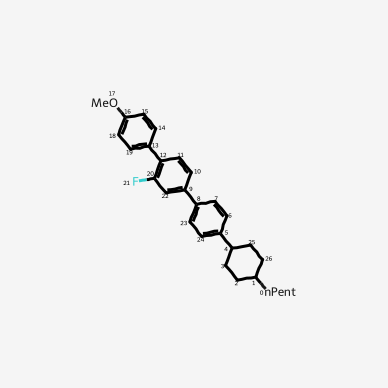 CCCCCC1CCC(c2ccc(-c3ccc(-c4ccc(OC)cc4)c(F)c3)cc2)CC1